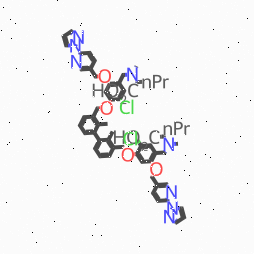 CCCC(C(=O)O)N(C)Cc1cc(Cl)c(OCc2cccc(-c3cccc(COc4cc(OCc5ccc(-n6cccn6)nc5)c(CN(C)C(CCC)C(=O)O)cc4Cl)c3C)c2C)cc1OCc1ccc(-n2cccn2)nc1